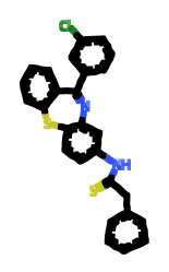 S=C(Cc1ccccc1)Nc1ccc2c(c1)N=C(c1cccc(Cl)c1)c1ccccc1S2